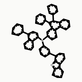 c1ccc(-c2ccc(N(c3cccc(-c4cccc5c4oc4ccccc45)c3)c3ccc4c(c3)c(-c3ccccc3)c(-c3ccccc3)c3ccccc34)c3ccccc23)cc1